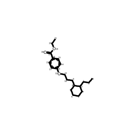 CCCC1CCCCC1CCCOc1ccc(C(=O)OCC)cc1